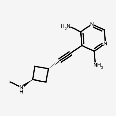 Nc1ncnc(N)c1C#C[C@H]1C[C@H](NI)C1